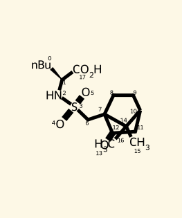 CCCC[C@H](NS(=O)(=O)CC12CCC(CC1=O)C2(C)C)C(=O)O